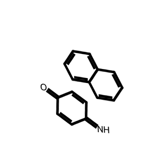 N=C1C=CC(=O)C=C1.c1ccc2ccccc2c1